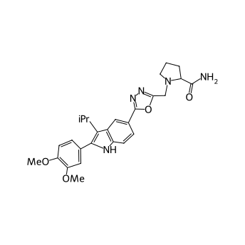 COc1ccc(-c2[nH]c3ccc(-c4nnc(CN5CCCC5C(N)=O)o4)cc3c2C(C)C)cc1OC